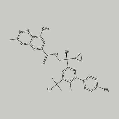 COc1cc(C(=O)NC[C@@](O)(c2cc(C(C)(C)O)c(I)c(-c3ccc(P)cc3)n2)C2CC2)cc2cc(C)nnc12